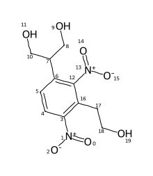 O=[N+]([O-])c1ccc(C(CO)CO)c([N+](=O)[O-])c1CCO